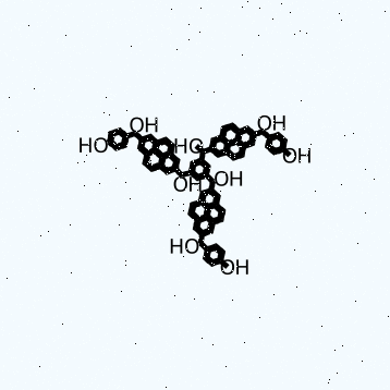 Oc1ccc(C(O)c2cc3ccc4cc(C(O)c5cc(C(O)c6cc7ccc8cc(C(O)c9ccc(O)cc9)cc9ccc(c6)c7c89)cc(C(O)c6cc7ccc8cc(C(O)c9ccc(O)cc9)cc9ccc(c6)c7c89)c5)cc5ccc(c2)c3c45)cc1